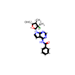 C[C@@H]1[C@@H](C=O)O[C@@H](n2ccc3c(NC(=O)c4ccccc4)ncnc32)[C@]1(C)F